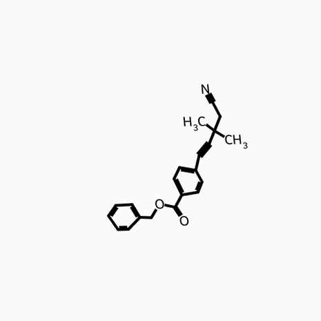 CC(C)(C#Cc1ccc(C(=O)OCc2ccccc2)cc1)CC#N